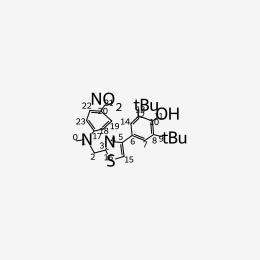 CN(Cc1nc(-c2cc(C(C)(C)C)c(O)c(C(C)(C)C)c2)cs1)c1ccc([N+](=O)[O-])cc1